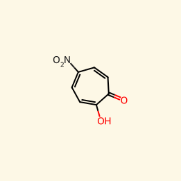 O=c1ccc([N+](=O)[O-])ccc1O